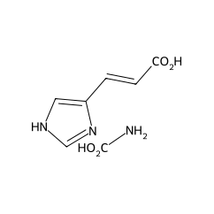 NC(=O)O.O=C(O)/C=C/c1c[nH]cn1